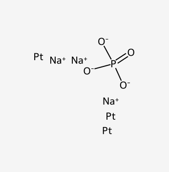 O=P([O-])([O-])[O-].[Na+].[Na+].[Na+].[Pt].[Pt].[Pt]